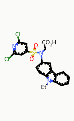 CCn1c2ccccc2c2cc(N(CC(=O)O)S(=O)(=O)c3cc(Cl)nc(Cl)c3)ccc21